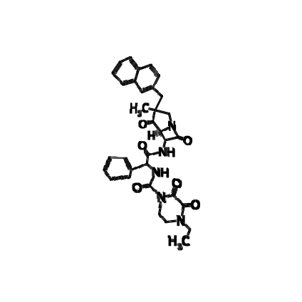 CCN1CCN(C(=O)NC(C(=O)NC2C(=O)N3CC(C)(Cc4ccc5ccccc5c4)C(=O)[C@H]23)c2ccccc2)C(=O)C1=O